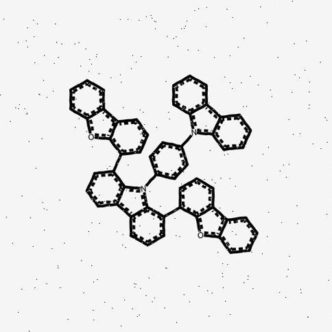 c1ccc2c(c1)oc1c(-c3cccc4c5cccc(-c6cccc7c6oc6ccccc67)c5n(-c5ccc(-n6c7ccccc7c7ccccc76)cc5)c34)cccc12